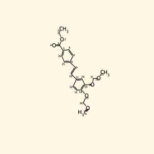 CCOC(=O)c1ccc(C=Cc2ccc(OCOC)c(OCOC)c2)cc1